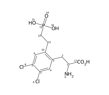 NC(Cc1cc(Cl)c(Cl)cc1CCP(=O)(O)O)C(=O)O